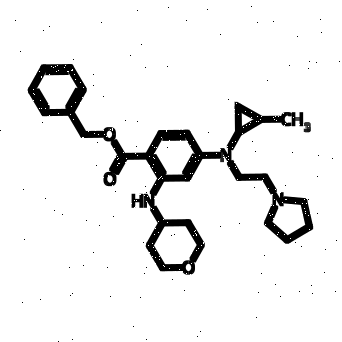 CC1CC1N(CCN1CCCC1)c1ccc(C(=O)OCc2ccccc2)c(NC2CCOCC2)c1